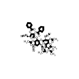 CC(=O)OC[C@@H](OC(C)=O)[C@H]1O[C@H](O[C@H]2[C@H](O[C@@H]3O[C@H](CN=[N+]=[N-])[C@H](OC(=O)c4ccccc4)[C@@H]3OC(=O)c3ccccc3)[C@@H](OC(C)=O)[C@H](N=[N+]=[N-])C[C@@H]2N=[N+]=[N-])[C@H](N=[N+]=[N-])[C@@H](OC(C)=O)[C@@H]1OC(C)=O